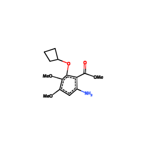 COC(=O)c1c(N)cc(OC)c(OC)c1OC1CCC1